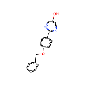 Oc1cnc(-c2ccc(OCc3ccccc3)cc2)nc1